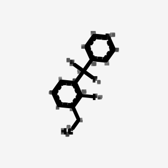 CCc1cccc(C(F)(F)c2ccncc2)c1F